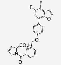 O=C(O)[C@@H]1C=CCN1C(=O)c1cccc(COc2ccc(-c3cc(F)c(F)c4ccoc34)cc2)c1